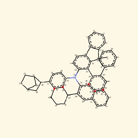 CC1(C)c2ccccc2-c2ccc(N(c3ccc(C4CC5CCC4C5)cc3)c3cc4ccccc4cc3C3CCCCC3)c(-c3ccccc3-c3ccccc3)c21